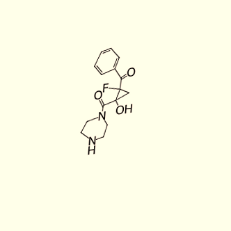 O=C(N1CCNCC1)C1(O)CC1(F)C(=O)c1ccccc1